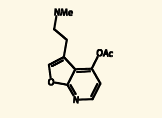 CNCCc1coc2nccc(OC(C)=O)c12